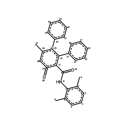 Cc1cccc(C)c1NC(=O)c1c(-c2ccccc2)n(-c2ccccc2)c(C)cc1=O